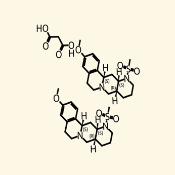 COc1ccc2c(c1)CCN1C[C@H]3CCCN(S(C)(=O)=O)[C@H]3C[C@@H]21.COc1ccc2c(c1)CCN1C[C@H]3CCCN(S(C)(=O)=O)[C@H]3C[C@@H]21.O=C(O)CC(=O)O